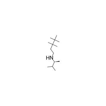 CC(C)[C@H](C)NCCC(C)(C)C(C)(C)C